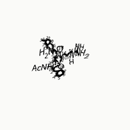 CC(=O)N[C@H](Cc1ccccc1)C(=O)N1C[C@H](CCCNC(=N)N)N(C(=O)[C@H](N)Cc2ccc(C)cc2C)C[C@H]1C